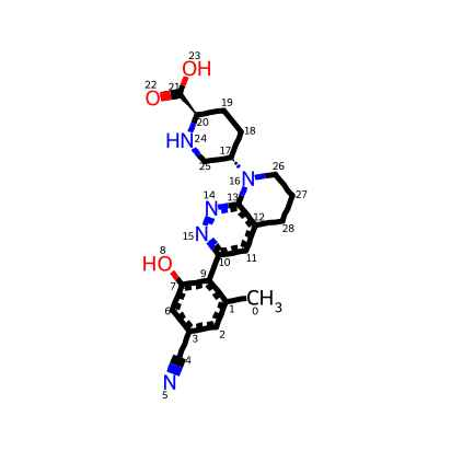 Cc1cc(C#N)cc(O)c1-c1cc2c(nn1)N([C@H]1CC[C@H](C(=O)O)NC1)CCC2